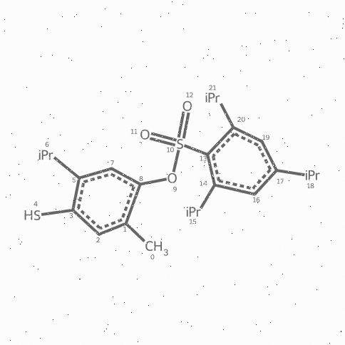 Cc1cc(S)c(C(C)C)cc1OS(=O)(=O)c1c(C(C)C)cc(C(C)C)cc1C(C)C